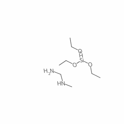 CCO[SiH](OCC)OCC.CNCN